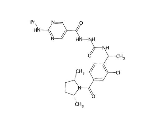 CC(C)Nc1ncc(C(=O)NNC(=O)N[C@H](C)c2ccc(C(=O)N3[C@H](C)CC[C@@H]3C)cc2Cl)cn1